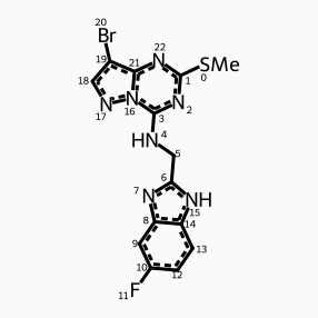 CSc1nc(NCc2nc3cc(F)ccc3[nH]2)n2ncc(Br)c2n1